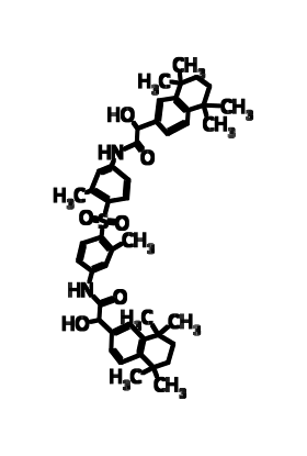 Cc1cc(NC(=O)C(O)c2ccc3c(c2)C(C)(C)CCC3(C)C)ccc1S(=O)(=O)c1ccc(NC(=O)C(O)c2ccc3c(c2)C(C)(C)CCC3(C)C)cc1C